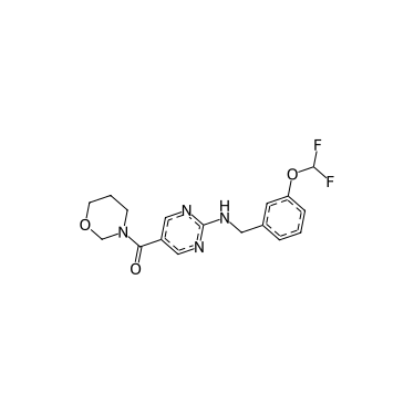 O=C(c1cnc(NCc2cccc(OC(F)F)c2)nc1)N1CCCOC1